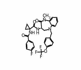 CN1C(=O)[C@H](NC(=O)C2(NC(=O)c3ccc(F)cc3)CC2)CN(Cc2ccc(OC(F)(F)F)cc2)c2ccccc21